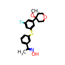 COC1(c2cc(F)cc(Sc3cccc(C(C)=NO)c3)c2)CCOCC1